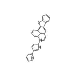 C1=CN(c2ccc(-c3ccccn3)cn2)c2cccc3c2c1cc1c2ccccc2sc31